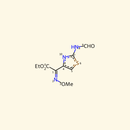 CCOC(=O)/C(=N/OC)c1csc(NC=O)n1